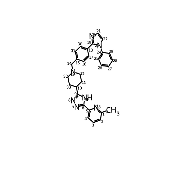 Cc1cccc(-c2nnc(C3CCN(Cc4ccc(-c5nccn5-c5ccccc5)cc4)CC3)[nH]2)n1